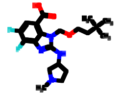 CN1CCC(Nc2nc3c(F)c(F)cc(C(=O)O)c3n2COCC[Si](C)(C)C)C1